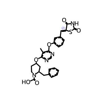 Cc1c(Oc2cccc(/C=C3\SC(=O)NC3=O)c2)ncnc1OC1CCN(C(=O)O)C(Cc2ccccc2)C1